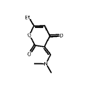 CCC1=CC(=O)C(=CN(C)C)C(=O)O1